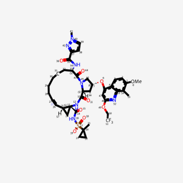 COc1ccc2c(O[C@@H]3C[C@H]4C(=O)N[C@]5(C(=O)NS(=O)(=O)C6(C)CC6)C[C@H]5/C=C\CCCCC[C@H](NC(=O)c5ccn(C)n5)C(=O)N4C3)cc(OCC(F)(F)F)nc2c1C